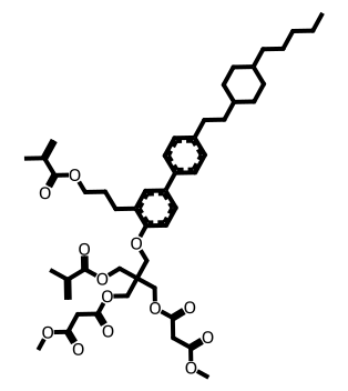 C=C(C)C(=O)OCCCc1cc(-c2ccc(CCC3CCC(CCCCC)CC3)cc2)ccc1OCC(COC(=O)CC(=O)OC)(COC(=O)CC(=O)OC)COC(=O)C(=C)C